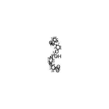 O[C@@H](COc1cccc(-c2noc3ccsc23)c1)CN1CCN(Cc2ccc3c(c2)OCO3)CC1